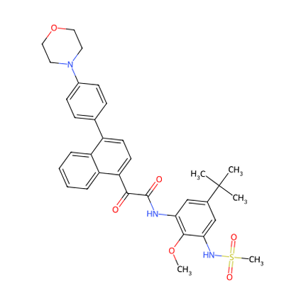 COc1c(NC(=O)C(=O)c2ccc(-c3ccc(N4CCOCC4)cc3)c3ccccc23)cc(C(C)(C)C)cc1NS(C)(=O)=O